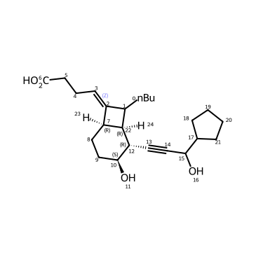 CCCCC1/C(=C/CCC(=O)O)[C@@H]2CC[C@H](O)[C@@H](C#CC(O)C3CCCC3)[C@H]12